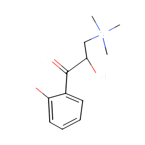 C[N+](C)(C)CC(O)C(=O)c1ccccc1O